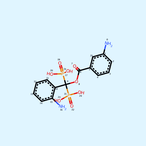 Nc1cccc(C(=O)OC(c2ccccc2N)(P(=O)(O)O)P(=O)(O)O)c1